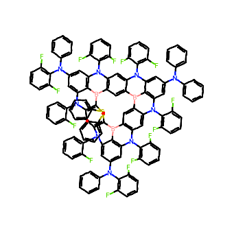 Fc1ccccc1N1c2cc(N(c3ccccc3)c3c(F)cccc3F)cc3c2B(c2cc4c(cc2N3c2c(F)cccc2F)N(c2c(F)cccc2F)c2cc(N(c3ccccc3)c3ccccc3)cc3c2B4c2cc4c(cc2N3c2c(F)cccc2F)N(c2c(F)cccc2F)c2cc(N(c3ccccc3)c3c(F)cccc3F)cc3c2B4c2sc4ccccc4c2N3c2ccccc2F)c2sc3ccccc3c21